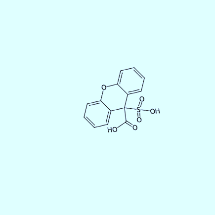 O=C(O)C1(S(=O)(=O)O)c2ccccc2Oc2ccccc21